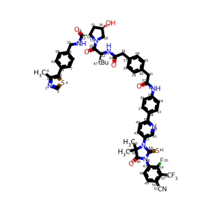 Cc1ncsc1-c1ccc(CNC(=O)[C@@H]2C[C@@H](O)CN2C(=O)[C@@H](NC(=O)Cc2ccc(CC(=O)Nc3ccc(-c4ccc(N5C(=S)N(c6ccc(C#N)c(C(F)(F)F)c6F)C(=O)C5(C)C)cn4)cc3)cc2)C(C)(C)C)cc1